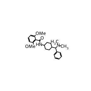 COc1cccc(OC)c1C(=O)NC1CCC(C(c2ccccc2)N(C)C)CC1